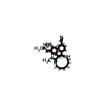 C=c1ccc(C2=C(\c3ccc(C#N)cc3)NCCCCCC/N=C\2NC)c/c1=C/N(C)C